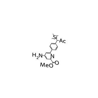 COC(=O)c1cc(N)cc(-c2ccc(C(C(C)=O)[Si](C)(C)C)cc2)n1